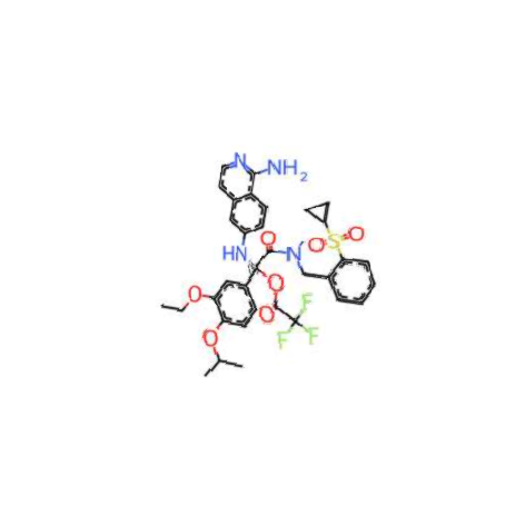 CCOc1cc([C@](Nc2ccc3c(N)nccc3c2)(OC(=O)C(F)(F)F)C(=O)N(C)Cc2ccccc2S(=O)(=O)C2CC2)ccc1OC(C)C